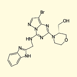 OC[C@@H]1COCCN1c1nc(NCc2nc3ccccc3[nH]2)n2ncc(Br)c2n1